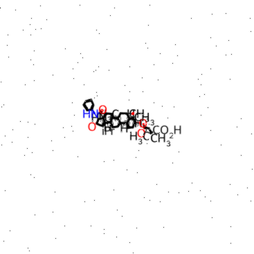 CC(C)C1=C2[C@H]3CC[C@@H]4[C@@]5(C)CC[C@H](OC(=O)CC(C)(C)C(=O)O)C(C)(C)[C@@H]5CC[C@@]4(C)[C@]3(C)CC[C@@]2(C(=O)Nc2ccccc2)CC1=O